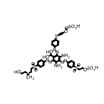 CN(CCO)CCS(=O)(=O)c1ccc(N=Nc2c(N)c(N=Nc3ccc(S(=O)(=O)CCOS(=O)(=O)O)cc3)c(N)c(N=Nc3ccc(SC#COOS(=O)(=O)O)cc3)c2C(O)O)cc1